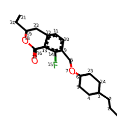 CCCC1CCC(OCc2ccc3c(c2F)C(=O)OC(CC)C3)CC1